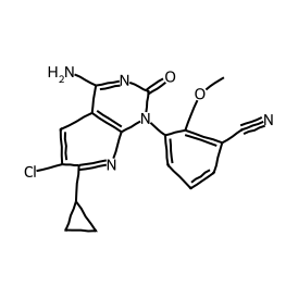 COc1c(C#N)cccc1-n1c(=O)nc(N)c2cc(Cl)c(C3CC3)nc21